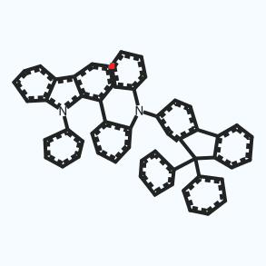 c1ccc(N(c2ccc3c(c2)C(c2ccccc2)(c2ccccc2)c2ccccc2-3)c2ccccc2-c2cccc3c4ccccc4n(-c4ccccc4)c23)cc1